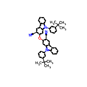 CC(C)(C)c1cccc(-n2c3ccccc3c3cc(C#N)c(Oc4cc5c(cc4C#N)c4ccccc4n5-c4cccc(C(C)(C)C)c4)cc32)c1